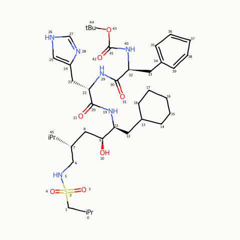 CC(C)CS(=O)(=O)NC[C@@H](C[C@H](O)[C@H](CC1CCCCC1)NC(=O)[C@H](Cc1c[nH]cn1)NC(=O)[C@H](Cc1ccccc1)NC(=O)OC(C)(C)C)C(C)C